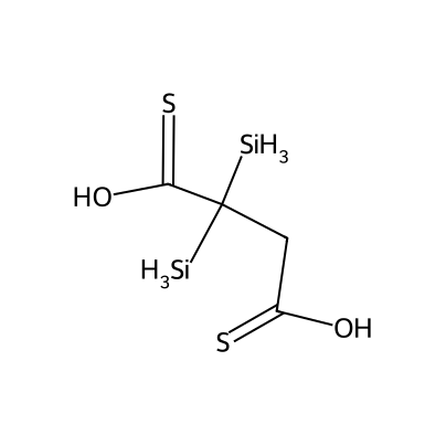 OC(=S)CC([SiH3])([SiH3])C(O)=S